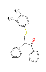 Cc1ccc(SCC(C(=O)c2ccccc2)c2ccccc2)cc1C